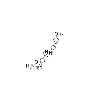 CC(C)(C)C(=O)N1CCN(c2ccc(Nc3nccc(-c4ccc(N5CCC[C@@H]5C(N)=O)cc4)n3)cc2)CC1